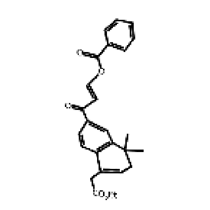 CCOC(=O)CC1=CCC(C)(C)c2cc(C(=O)C=COC(=O)c3ccccc3)ccc21